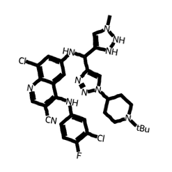 CN1C=C(C(Nc2cc(Cl)c3ncc(C#N)c(Nc4ccc(F)c(Cl)c4)c3c2)c2cn(C3CCN(C(C)(C)C)CC3)nn2)NN1